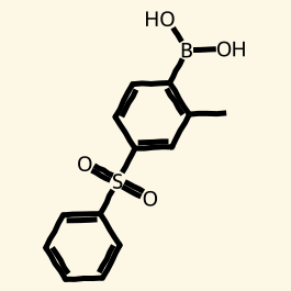 Cc1cc(S(=O)(=O)c2ccccc2)ccc1B(O)O